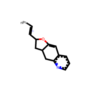 [CH2]CC/C=C/C1CC2Cc3ncccc3C=C2O1